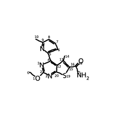 COc1nc(-c2cccc(C)n2)c2c(C)c(C(N)=O)sc2n1